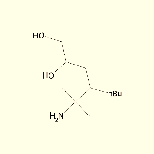 CCCCC(CC(O)CO)C(C)(C)N